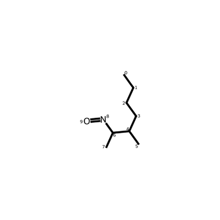 CCCCC(C)C(C)N=O